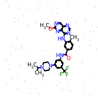 COc1ncc2ncnc(Nc3cc(C(=O)Nc4cc(N5CCN(C(C)C)CC5)cc(C(F)(F)F)c4)ccc3C)c2n1